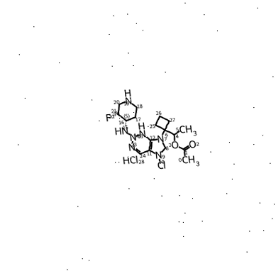 CC(=O)OC(C)C1(N2CN(Cl)C3=C2NN(N[C@H]2CCNC[C@H]2F)N=C3)CCC1.Cl